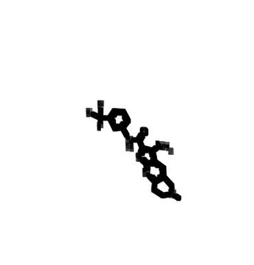 CN1CCc2nc3sc(C(=O)Nc4cccc(C(F)(F)F)c4)c(N)c3cc2C1